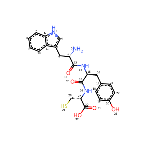 N[C@@H](Cc1c[nH]c2ccccc12)C(=O)N[C@@H](Cc1ccc(O)cc1)C(=O)N[C@@H](CS)C(=O)O